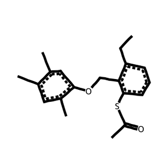 CCc1cccc(SC(C)=O)c1COc1cc(C)c(C)cc1C